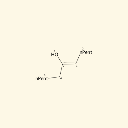 CCCCCC=C(O)CCCCCC